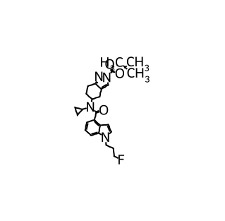 CC(C)(C)OC(=O)n1cc2c(n1)CCC(N(C(=O)c1cccc3c1ccn3CCCF)C1CC1)C2